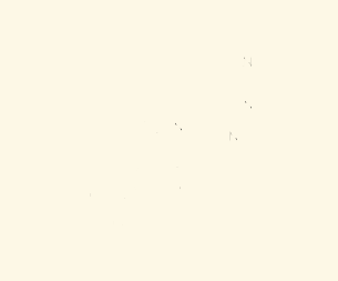 COc1ccc(C2C(=O)C(=Cc3cccc(N4CCN(C)CC4)n3)CN(Cc3ccccc3)C2=O)cc1OC